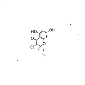 CCCC1(C)Oc2cc(O)cc(O)c2C(=O)C1Cl